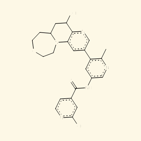 Cc1ncc(NC(=O)c2ccnc(C(F)(F)F)c2)cc1-c1cnc2c(c1)N1CCOCCC1CC2O